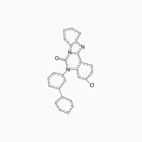 O=c1n(-c2cccc(-c3ccccc3)c2)c2cc(Cl)ccc2c2nc3ccccc3n12